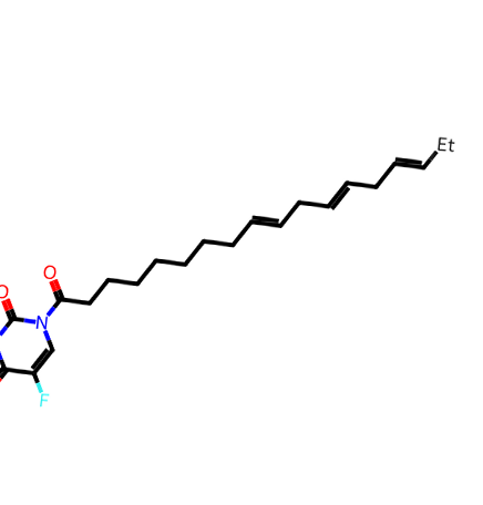 CCC=CCC=CCC=CCCCCCCCC(=O)n1cc(F)c(=O)[nH]c1=O